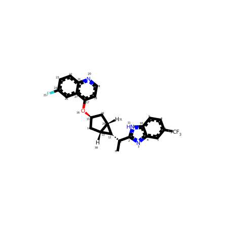 CC(c1nc2cc(C(F)(F)F)ccc2[nH]1)[C@@H]1[C@@H]2C[C@@H](Oc3ccnc4ccc(F)cc34)C[C@@H]21